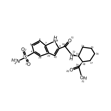 NS(=O)(=O)c1ccc2[nH]c(C(=O)N[C@H]3CCCC[C@H]3C(=O)O)cc2c1